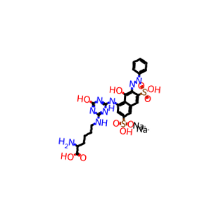 NC(CCCCNc1nc(O)nc(Nc2cc(S(=O)(=O)O)cc3cc(S(=O)(=O)O)c(N=Nc4ccccc4)c(O)c23)n1)C(=O)O.[Na].[Na]